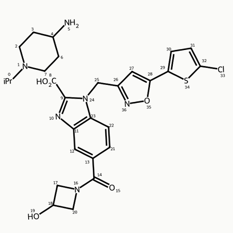 CC(C)N1CCC(N)CC1.O=C(O)c1nc2cc(C(=O)N3CC(O)C3)ccc2n1Cc1cc(-c2ccc(Cl)s2)on1